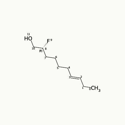 CCC=CCCCC[C@@H](F)CO